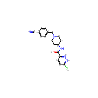 N#Cc1ccc(CN2CCC(NC(=O)c3ccc(Cl)nn3)CC2)cc1